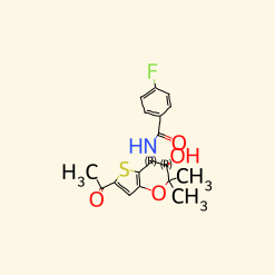 CC(=O)c1cc2c(s1)[C@H](NC(=O)c1ccc(F)cc1)[C@@H](O)C(C)(C)O2